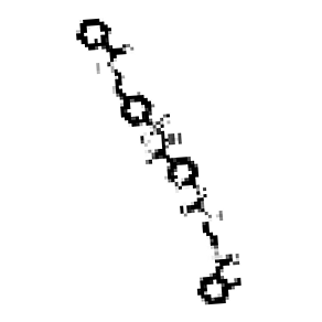 Cc1ccccc1C(=O)OCCNC(=O)Oc1ccc(C(=O)NS(=O)(=O)c2ccc(CCNC(=O)c3ccccc3)cc2)cn1